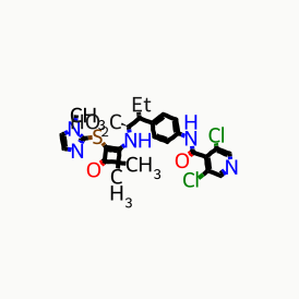 CCC(c1ccc(NC(=O)c2c(Cl)cncc2Cl)cc1)[C@H](NC1=C(Sc2nccn2C)C(=O)C1(C)C)C(=O)O